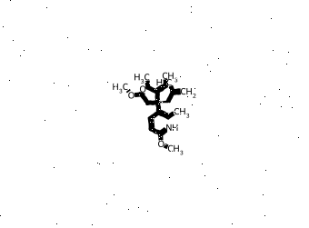 C=C(C)C[C@](CC(=O)OC)(C(/C=C\C(=N)OC)=C\C)/C(=C/C)CC